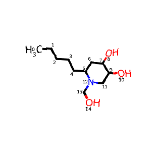 CCCCCC1CC(O)C(O)CN1CO